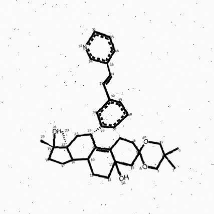 CC1(C)COC2(CCC3=C4C(CCC3(O)C2)C2CC[C@](C)(O)[C@@]2(C)C[C@@H]4c2cccc(/C=C/c3cccnc3)c2)OC1